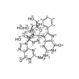 Nc1nc2c(ncn2[C@]2(N=N[C@@]3(n4c(-c5ccccc5)nc5c(=O)[nH]c(N)nc54)O[C@H](CO)[C@@H](O)[C@H]3O)O[C@H](CO)[C@@H](O)[C@H]2O)c(=O)[nH]1